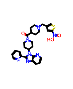 O=C(C1CCN(Cc2csc([N+](=O)O)c2)CC1)N1CCC(n2c(-c3ccccn3)nc3cccnc32)CC1